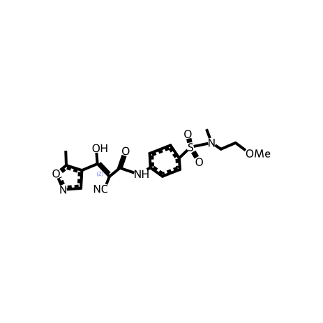 COCCN(C)S(=O)(=O)c1ccc(NC(=O)/C(C#N)=C(\O)c2cnoc2C)cc1